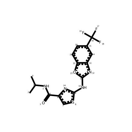 CC(C)NC(=O)c1csc(Nc2nc3cc(C(F)(F)F)ccc3o2)n1